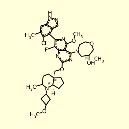 COc1nc(-c2c(Cl)c(C)cc3[nH]ncc23)c(F)c2nc(OC[C@]34CCC[C@H]3N(C3CC(OC)C3)C(C)CC4)nc(N3CCOC[C@@](C)(O)C3)c12